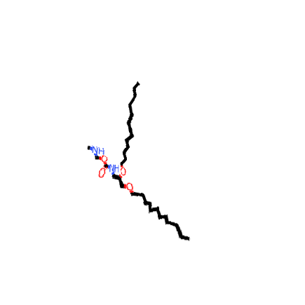 CCCCCCCCCCCCOCC(CNC(=O)OCNC)OCCCCCCCCCCCC